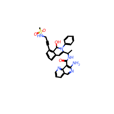 CC(NC(=O)c1c(N)ncc2cccnc12)C1=Cc2cccc(C#CCNS(C)(=O)=O)c2C(O)N1c1ccccc1